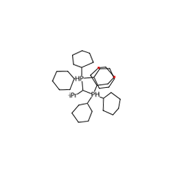 C[C](C)C([PH](C1CCCCC1)(C1CCCCC1)C1CCCCC1)[PH](C1CCCCC1)(C1CCCCC1)C1CCCCC1